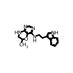 CC1CNc2ncnc(NCCc3c[nH]c4ccccc34)c2O1